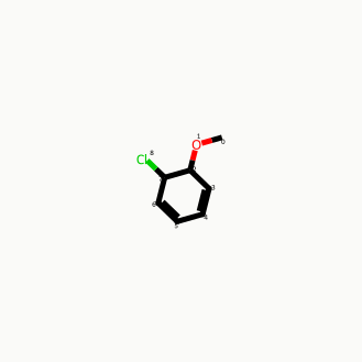 COC1C=CC=C[C]1Cl